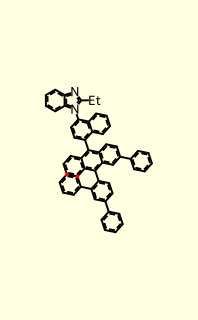 CCc1nc2ccccc2n1-c1ccc(-c2c3ccccc3c(-c3ccc(-c4ccccc4)cc3-c3ccccc3)c3cc(-c4ccccc4)ccc23)c2ccccc12